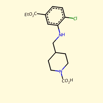 CCOC(=O)c1ccc(Cl)c(NCC2CCN(C(=O)O)CC2)c1